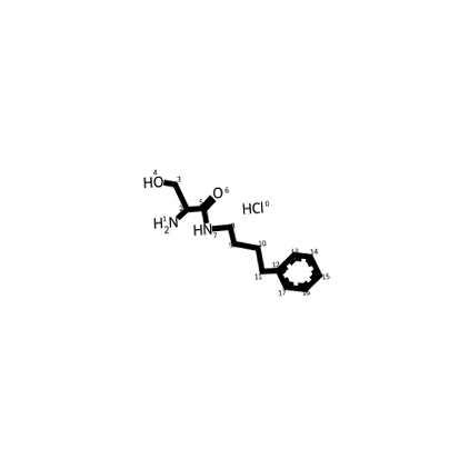 Cl.NC(CO)C(=O)NCCCCc1ccccc1